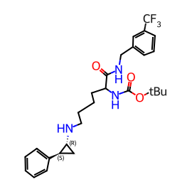 CC(C)(C)OC(=O)NC(CCCCN[C@@H]1C[C@H]1c1ccccc1)C(=O)NCc1cccc(C(F)(F)F)c1